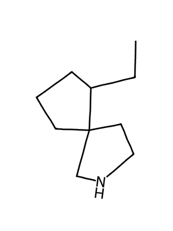 CCC1CCCC12CCNC2